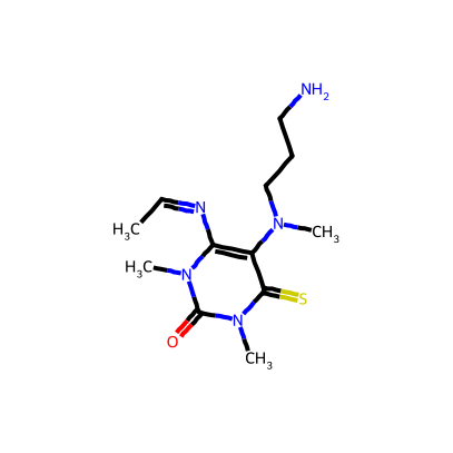 C/C=N\c1c(N(C)CCCN)c(=S)n(C)c(=O)n1C